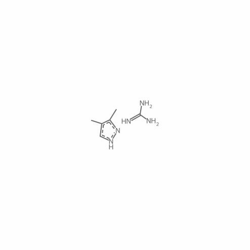 Cc1c[nH]nc1C.N=C(N)N